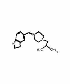 CC(C)CN1CCN(Cc2ccc3c(c2)CC=N3)CC1